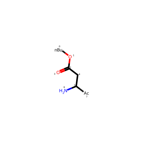 CCCCOC(=O)CC(N)C(C)=O